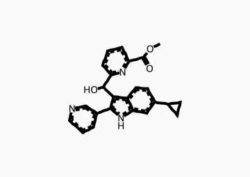 COC(=O)c1cccc(C(O)c2c(-c3cccnc3)[nH]c3cc(C4CC4)ccc23)n1